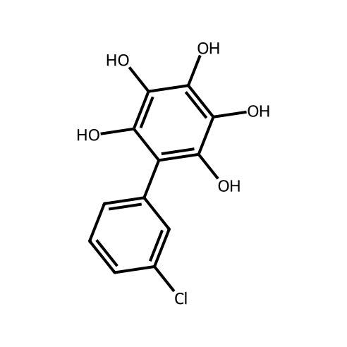 Oc1c(O)c(O)c(-c2cccc(Cl)c2)c(O)c1O